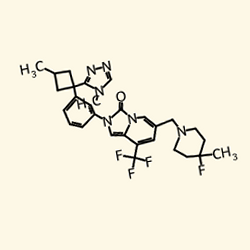 CC1CC(c2cccc(-n3cc4c(C(F)(F)F)cc(CN5CCC(C)(F)CC5)cn4c3=O)c2)(c2nncn2C)C1